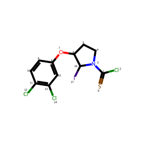 S=C(Cl)N1CCC(Oc2ccc(Cl)c(Cl)c2)C1I